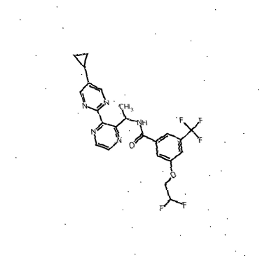 CC(NC(=O)c1cc(OCC(F)F)cc(C(F)(F)F)c1)c1nccnc1-c1ncc(C2CC2)cn1